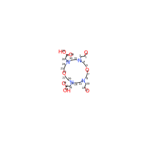 O=CCN1CCOCCN(CC=O)CCN(CC(=O)O)CCOCCN(CC(=O)O)CC1